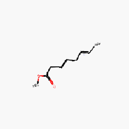 CCCC/C=C/CCCCC(=O)OCCCC